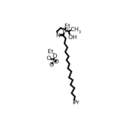 CCOS(=O)(=O)[O-].CC[N+]1(C(C)O)CCN=C1CCCCCCCCCCCCCCCC(C)C